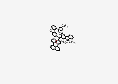 CCC1(c2cccc3oc4ccc(N(c5ccc(-c6cccc7cccc(-c8ccccc8)c67)cc5)c5ccc6c(c5)C(C)(C)c5ccccc5-6)cc4c23)CCC(C)C1